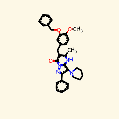 COc1ccc(Cc2c(C)[nH]c3c(N4CCCCC4)c(-c4ccccc4)nn3c2=O)cc1OCc1ccccc1